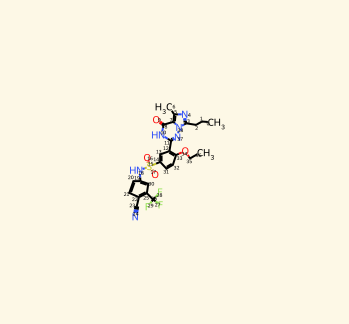 CCCc1nc(C)c2c(=O)[nH]c(-c3cc(S(=O)(=O)Nc4ccc(C#N)c(C(F)(F)F)c4)ccc3OCC)nn12